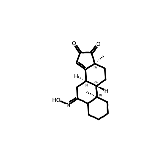 C[C@]12CC[C@H]3[C@@H](CC(=NO)C4CCCC[C@@]43C)C1=CC(=O)C2=O